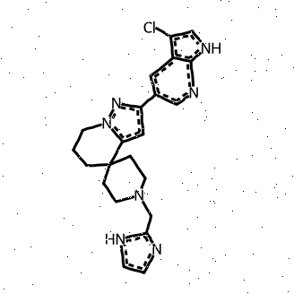 Clc1c[nH]c2ncc(-c3cc4n(n3)CCCC43CCN(Cc4ncc[nH]4)CC3)cc12